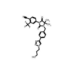 CC1(C)C(=O)N(c2ccc(C#N)c(C(F)(F)F)c2)C(=S)N1Cc1ccc(-c2cn(CCCO)nn2)cc1